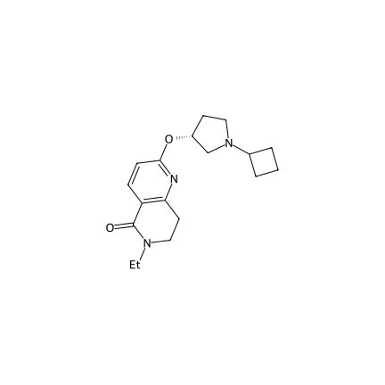 CCN1CCc2nc(O[C@@H]3CCN(C4CCC4)C3)ccc2C1=O